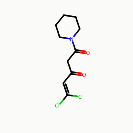 O=C(C=C(Cl)Cl)CC(=O)N1CCCCC1